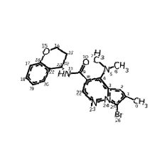 Cc1cc2c(N(C)C)c(C(=O)N[C@H]3CCOc4ccccc43)cnn2c1Br